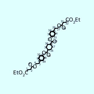 CCOC(=O)CCC(=O)OCCc1ccc(OC(=O)C2CCC(C(=O)Oc3ccc(CCOC(=O)CCC(=O)OCC)cc3)CC2)cc1